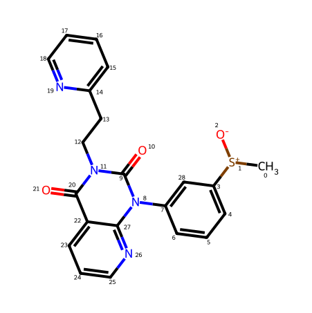 C[S+]([O-])c1cccc(-n2c(=O)n(CCc3ccccn3)c(=O)c3cccnc32)c1